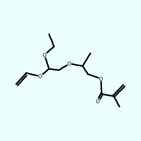 C=COC(COC(C)COC(=O)C(=C)C)OCC